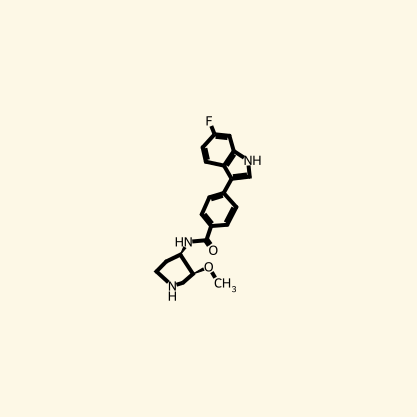 CO[C@H]1CNCC[C@H]1NC(=O)c1ccc(-c2c[nH]c3cc(F)ccc23)cc1